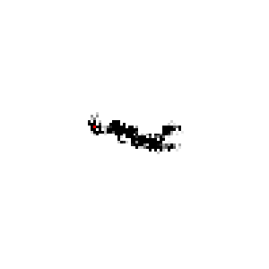 COc1nc(O[C@H]2CCc3c(-c4nccc(-c5ccc6c(CNC[C@H]7CCC(=O)N7)cn(C)c6n5)c4Cl)cccc32)c(C(F)(F)F)cc1CNC[C@@H]1CCC(=O)N1